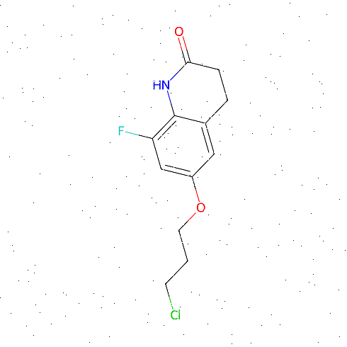 O=C1CCc2cc(OCCCCl)cc(F)c2N1